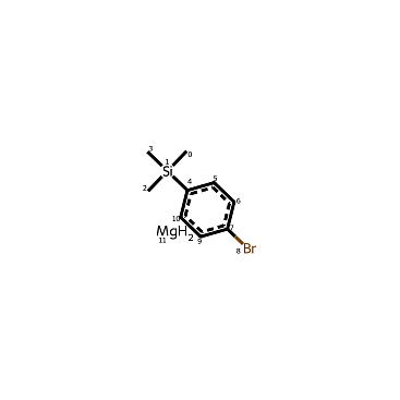 C[Si](C)(C)c1ccc(Br)cc1.[MgH2]